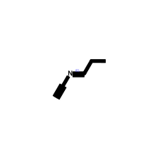 C#C/N=C/CC